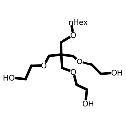 CCCCCCOCC(COCCO)(COCCO)COCCO